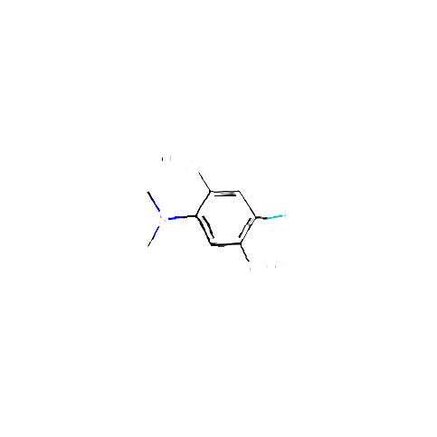 CCOC(=O)c1cc(N(C)C)c(C(=O)O)cc1F